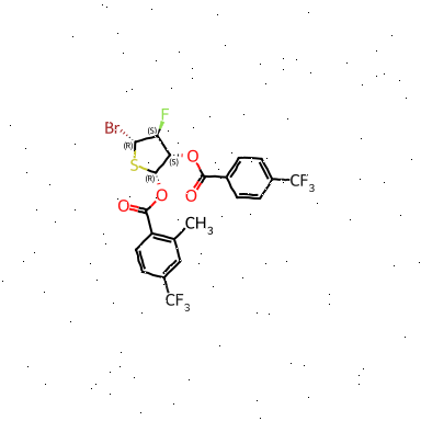 Cc1cc(C(F)(F)F)ccc1C(=O)O[C@@H]1S[C@H](Br)[C@@H](F)[C@@H]1OC(=O)c1ccc(C(F)(F)F)cc1